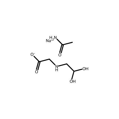 CC(N)=O.O=C([O-])CNCC(O)O.[Na+]